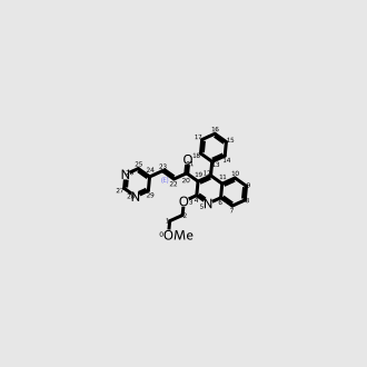 COCCOc1nc2ccccc2c(-c2ccccc2)c1C(=O)/C=C/c1cncnc1